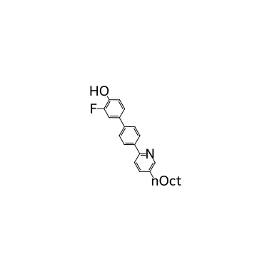 CCCCCCCCc1ccc(-c2ccc(-c3ccc(O)c(F)c3)cc2)nc1